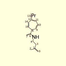 C=C(C)CCNC(=C)C1C=CC=C(C(C)C)C=C1